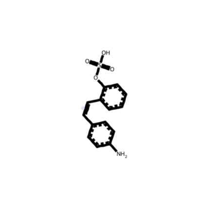 Nc1ccc(/C=C\c2ccccc2OS(=O)(=O)O)cc1